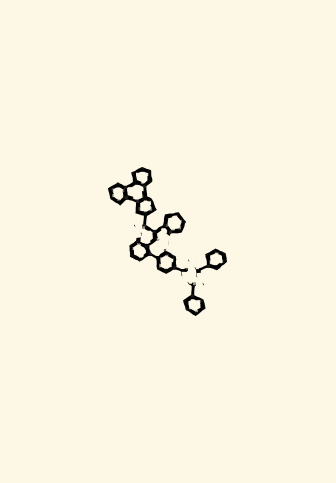 c1ccc(-c2nc(-c3ccccc3)nc(-c3ccc(-c4cccc5nc(-c6ccc7c8ccccc8c8ccccc8c7c6)c6c7ccccc7oc6c45)cc3)n2)cc1